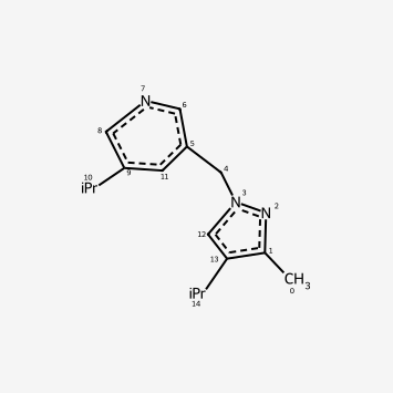 Cc1nn(Cc2cncc(C(C)C)c2)cc1C(C)C